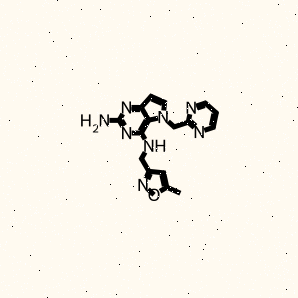 Cc1cc(CNc2nc(N)nc3ccn(Cc4ncccn4)c23)no1